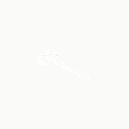 NCCCCCNCc1nccc2ccccc12